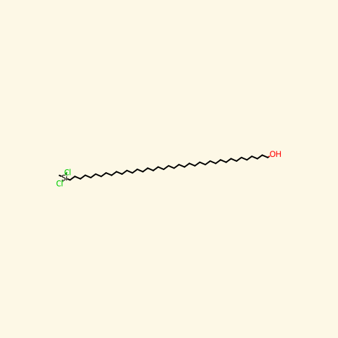 C[Si](Cl)(Cl)CCCCCCCCCCCCCCCCCCCCCCCCCCCCCCCCCCCCCCCO